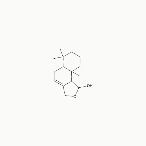 CC1(C)CCCC2(C)C3C(=CCC12)COC3O